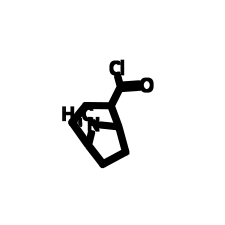 CN1C2CCC(C(=O)Cl)C1CC2